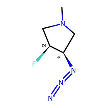 CN1C[C@H](F)[C@H](N=[N+]=[N-])C1